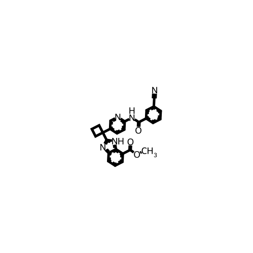 COC(=O)c1cccc2nc(C3(c4ccc(NC(=O)c5cccc(C#N)c5)nc4)CCC3)[nH]c12